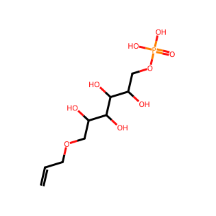 C=CCOCC(O)C(O)C(O)C(O)COP(=O)(O)O